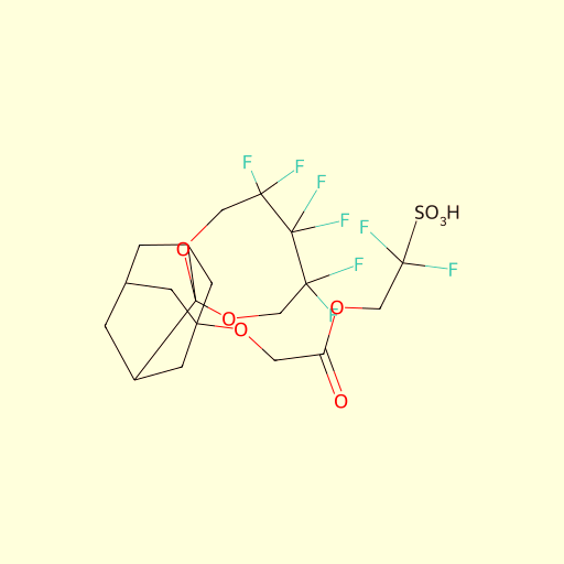 O=C(COC12CC3CC(C1)C1(OCC(F)(F)C(F)(F)C(F)(F)CO1)C(C3)C2)OCC(F)(F)S(=O)(=O)O